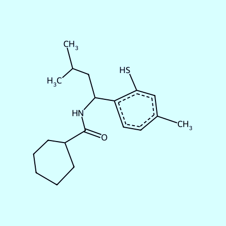 Cc1ccc(C(CC(C)C)NC(=O)C2CCCCC2)c(S)c1